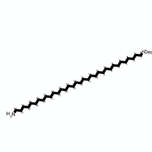 CCCCCCCCCCCCCCCCCCCCCCCCCCCCCCCCCCCCCCCCCCCCN